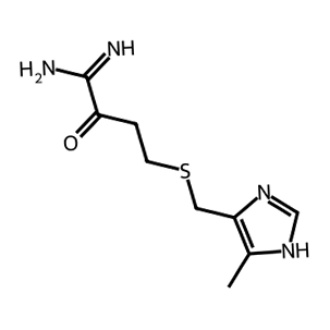 Cc1[nH]cnc1CSCCC(=O)C(=N)N